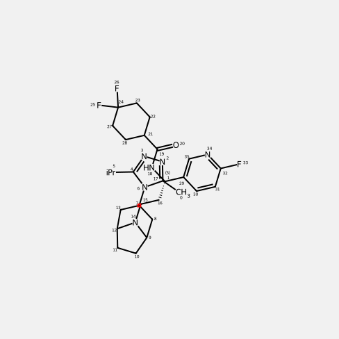 Cc1nnc(C(C)C)n1C1CC2CCC(C1)N2CC[C@H](NC(=O)C1CCC(F)(F)CC1)c1ccc(F)nc1